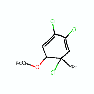 CC(=O)OOC1C=C(Cl)C(Cl)=CC1(Cl)C(C)C